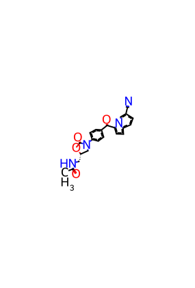 CC(=O)NC[C@H]1CN(c2ccc(C(=O)c3ccc4ccc(C#N)cn34)cc2)C(=O)O1